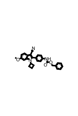 COc1ccc2c(C#N)c(-c3ccc(NC(=O)OCc4ccccc4)cc3)n(C3CCC3)c2c1